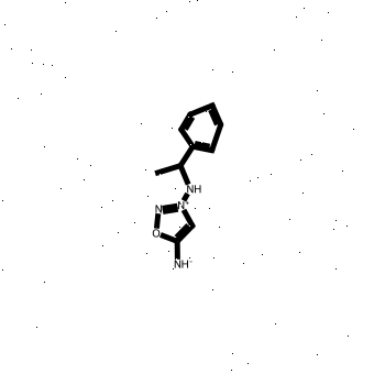 CC(N[n+]1cc([NH-])on1)c1ccccc1